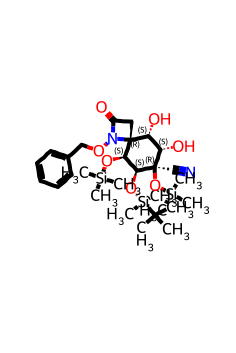 CC(C)(C)[Si](C)(C)O[C@H]1[C@@H](O[Si](C)(C)C)[C@@]2(CC(=O)N2OCc2ccccc2)[C@H](O)[C@H](O)[C@@]1(C#N)O[Si](C)(C)C